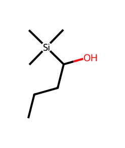 CCCC(O)[Si](C)(C)C